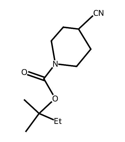 CCC(C)(C)OC(=O)N1CCC(C#N)CC1